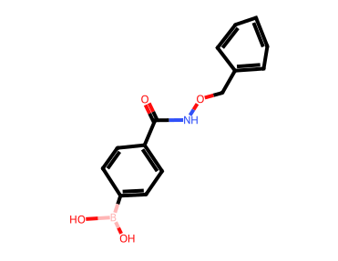 O=C(NOCc1ccccc1)c1ccc(B(O)O)cc1